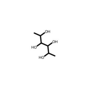 CC(O)[C](O)C(O)C(C)O